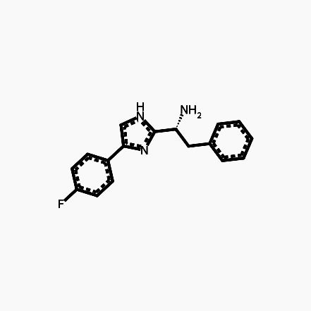 N[C@H](Cc1ccccc1)c1nc(-c2ccc(F)cc2)c[nH]1